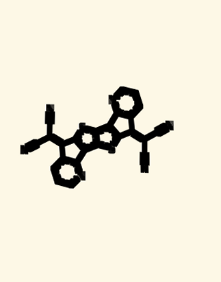 N#CC(C#N)=C1c2cccnc2-c2c1sc1c3c(sc21)C(=C(C#N)C#N)c1cccnc1-3